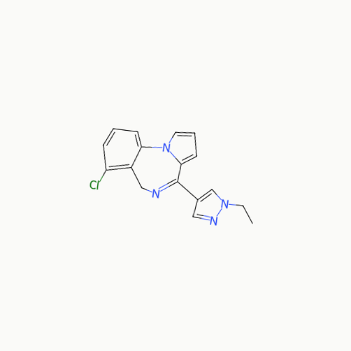 CCn1cc(C2=NCc3c(Cl)cccc3-n3cccc32)cn1